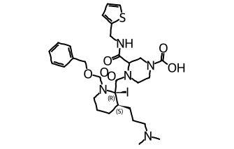 CN(C)CCC[C@H]1CCCN(C(=O)OCc2ccccc2)[C@]1(I)C(=O)N1CCN(C(=O)O)CC1C(=O)NCc1cccs1